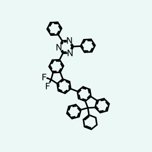 FC1(F)c2ccc(-c3ccc4c(c3)C(C3=CC=CCC3)(c3ccccc3)c3ccccc3-4)cc2-c2cc(-c3nc(-c4ccccc4)nc(-c4ccccc4)n3)ccc21